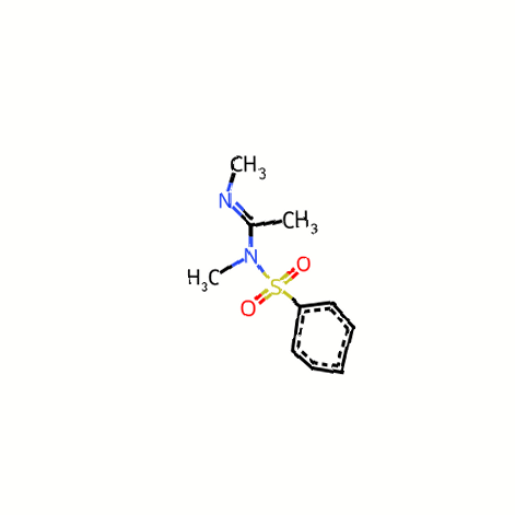 C/N=C(\C)N(C)S(=O)(=O)c1ccccc1